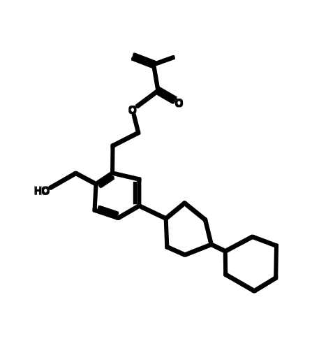 C=C(C)C(=O)OCCc1cc(C2CCC(C3CCCCC3)CC2)ccc1CO